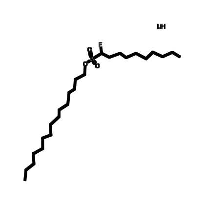 CCCCCCCCCCCCCCCOS(=O)(=O)C(F)CCCCCCCCC.[LiH]